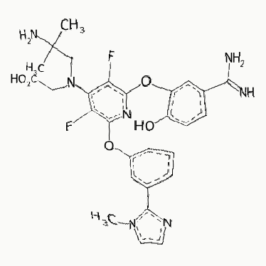 Cn1ccnc1-c1cccc(Oc2nc(Oc3cc(C(=N)N)ccc3O)c(F)c(N(CC(=O)O)CC(C)(C)N)c2F)c1